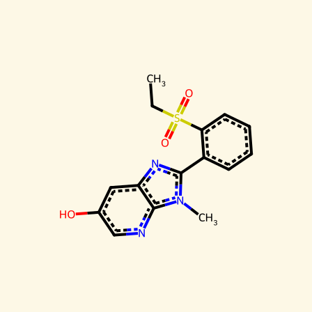 CCS(=O)(=O)c1ccccc1-c1nc2cc(O)cnc2n1C